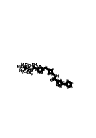 CC(O[Si](C)(C)C(C)(C)C)c1nnc(CC2CC(NC(=O)c3cc(-c4cccs4)no3)C2)o1